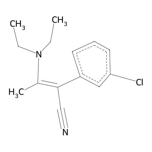 CCN(CC)C(C)=C(C#N)c1cccc(Cl)c1